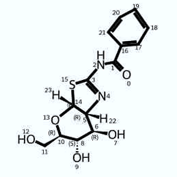 O=C(NC1=N[C@@H]2[C@@H](O)[C@H](O)[C@@H](CO)O[C@@H]2S1)c1ccccc1